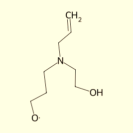 C=CCN(CCO)CCC[O]